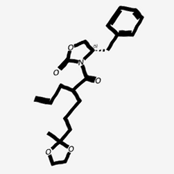 C=CCC(CCCC1(C)OCCO1)C(=O)N1C(=O)OC[C@@H]1Cc1ccccc1